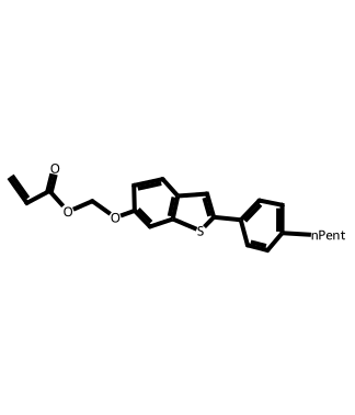 C=CC(=O)OCOc1ccc2cc(-c3ccc(CCCCC)cc3)sc2c1